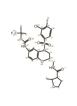 CC1OCCC1C(=O)NC[C@H]1CN(S(=O)(=O)c2ccc(F)c(Cl)c2)c2cc(NC(=O)OC(C)(C)C(F)(F)F)ccc2O1